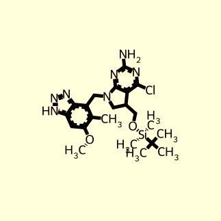 COc1cc2[nH]nnc2c(CN2CC(CO[Si](C)(C)C(C)(C)C)c3c(Cl)nc(N)nc32)c1C